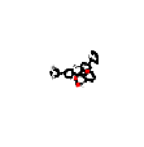 c1ccc(-c2ccc3c(c2)Sc2cc(-c4cncnc4)ccc2C32c3ccccc3Sc3ccccc32)nc1